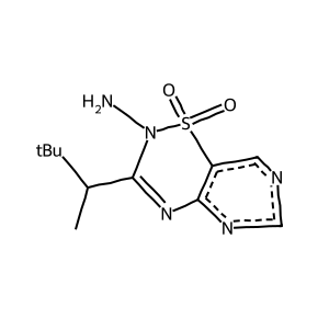 CC(C1=Nc2ncncc2S(=O)(=O)N1N)C(C)(C)C